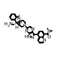 CN(C)C(=O)c1ccc(-c2n[nH]c3nc(N4CC[C@@H]5[C@H](C4)[C@@]5(CN)c4ccccc4F)cnc23)c2cccnc12